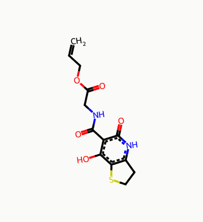 C=CCOC(=O)CNC(=O)c1c(O)c2c([nH]c1=O)CCS2